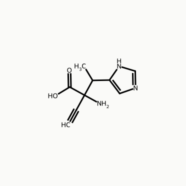 C#CC(N)(C(=O)O)C(C)c1cnc[nH]1